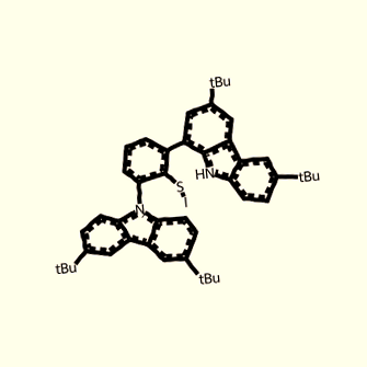 CC(C)(C)c1ccc2[nH]c3c(-c4cccc(-n5c6ccc(C(C)(C)C)cc6c6cc(C(C)(C)C)ccc65)c4SI)cc(C(C)(C)C)cc3c2c1